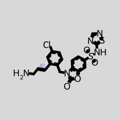 NC/C=C/c1cc(Cl)ccc1Cn1c(=O)oc2cc(S(=O)(=O)Nc3ncns3)ccc21